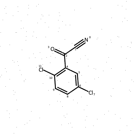 N#CC(=O)c1cc(Cl)ccc1Cl